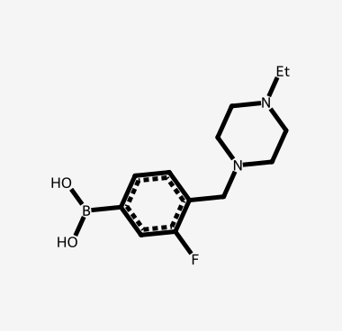 CCN1CCN(Cc2ccc(B(O)O)cc2F)CC1